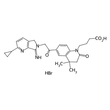 Br.CC1(C)CC(=O)N(CCCC(=O)O)c2ccc(C(=O)CN3Cc4ccc(C5CC5)nc4C3=N)cc21